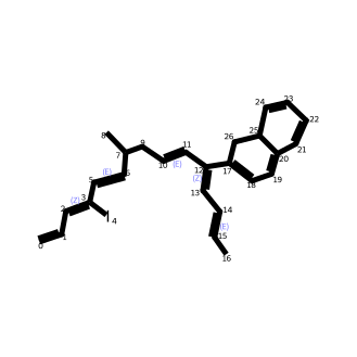 C=C/C=C(I)/C=C/C(C)C/C=C/C(=C/C=C/C)C1=CC=C2C=CC=CC2C1